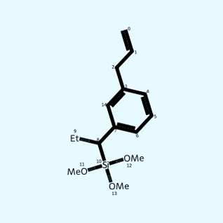 C=CCc1cccc(C(CC)[Si](OC)(OC)OC)c1